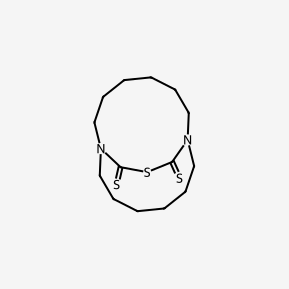 S=C1SC(=S)N2CCCCCCN1CCCCCC2